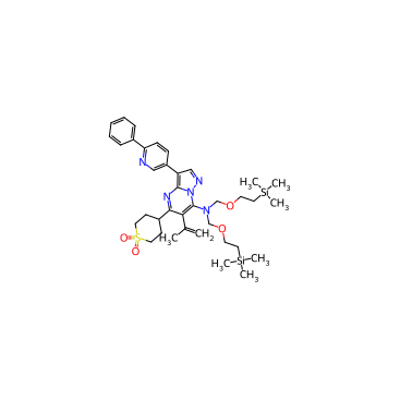 C=C(C)c1c(C2CCS(=O)(=O)CC2)nc2c(-c3ccc(-c4ccccc4)nc3)cnn2c1N(COCC[Si](C)(C)C)COCC[Si](C)(C)C